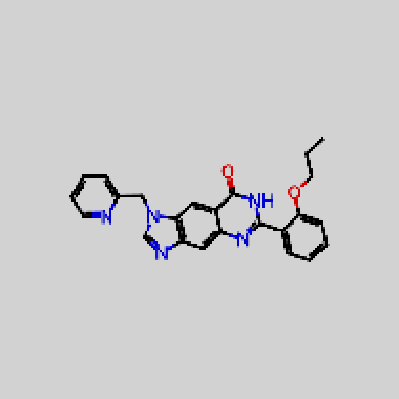 CCCOc1ccccc1-c1nc2cc3ncn(Cc4ccccn4)c3cc2c(=O)[nH]1